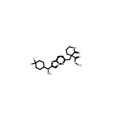 COC(=O)C1(Cc2ccc3nc([C@@H](N)C4CCC(F)(F)CC4)cn3n2)CCCNC1=O